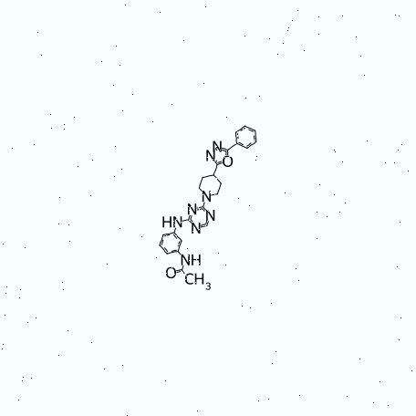 CC(=O)Nc1cccc(Nc2ncnc(N3CCC(c4nnc(-c5ccccc5)o4)CC3)n2)c1